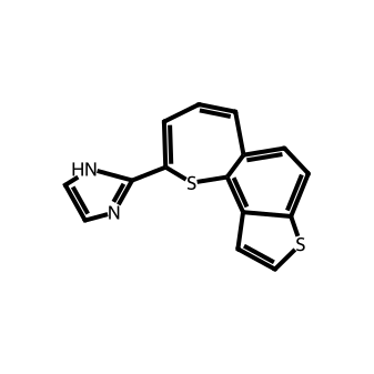 C1=Cc2ccc3sccc3c2SC(c2ncc[nH]2)=C1